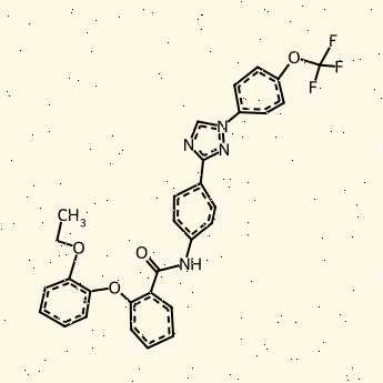 CCOc1ccccc1Oc1ccccc1C(=O)Nc1ccc(-c2ncn(-c3ccc(OC(F)(F)F)cc3)n2)cc1